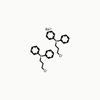 [Ba+2].[O-]CCCP(c1ccccc1)c1ccccc1.[O-]CCCP(c1ccccc1)c1ccccc1